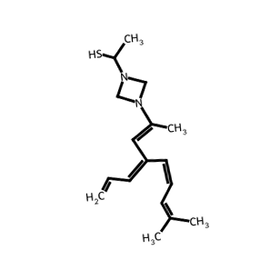 C=C/C=C(/C=C\C=C(C)C)\C=C(/C)N1CN(C(C)S)C1